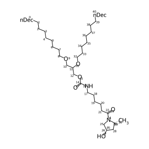 CCCCCCCCCCCCCCCCCCOCC(COC(=O)NCCCCCC(=O)N1C[C@H](O)C[C@H]1C)OCCCCCCCCCCCCCCCCCC